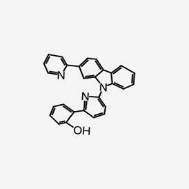 Oc1ccccc1-c1cccc(-n2c3ccccc3c3ccc(-c4ccccn4)cc32)n1